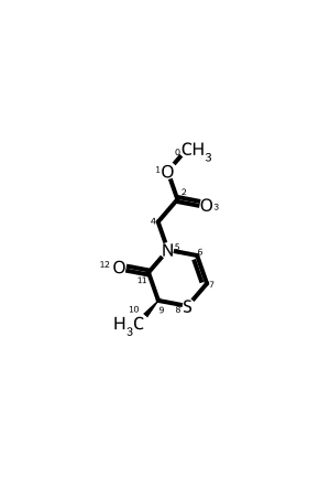 COC(=O)CN1C=CS[C@@H](C)C1=O